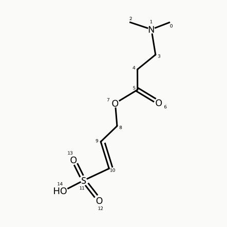 CN(C)CCC(=O)OCC=CS(=O)(=O)O